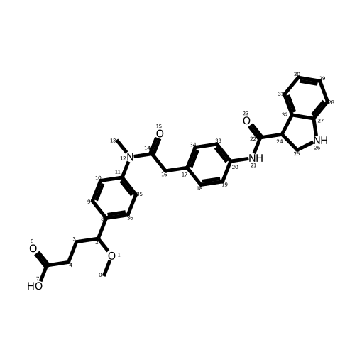 COC(CCC(=O)O)c1ccc(N(C)C(=O)Cc2ccc(NC(=O)C3CNc4ccccc43)cc2)cc1